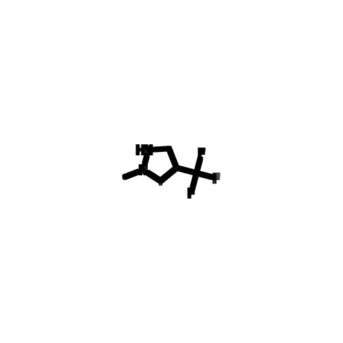 CN1[CH]C(C(F)(F)F)CN1